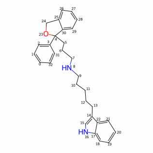 c1ccc(C2(CCCNCCCCCc3c[nH]c4ccccc34)OCc3ccccc32)cc1